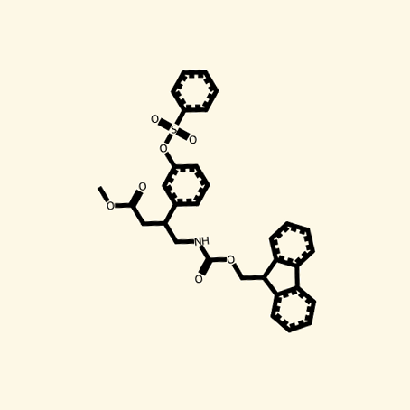 COC(=O)CC(CNC(=O)OCC1c2ccccc2-c2ccccc21)c1cccc(OS(=O)(=O)c2ccccc2)c1